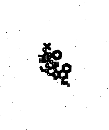 CCOCc1nc2c(N)nc3ccccc3c2n1[C@@](C)(O)COP(=O)(N[C@@H](C)C(=O)OC(C)(C)C)Oc1ccccc1